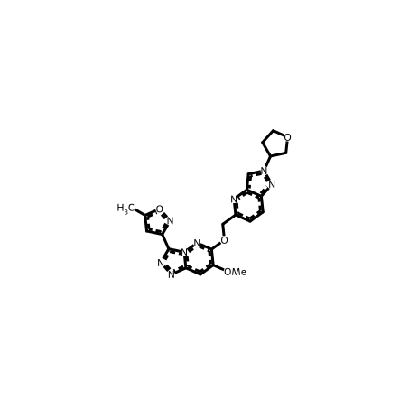 COc1cc2nnc(-c3cc(C)on3)n2nc1OCc1ccc2nn(C3CCOC3)cc2n1